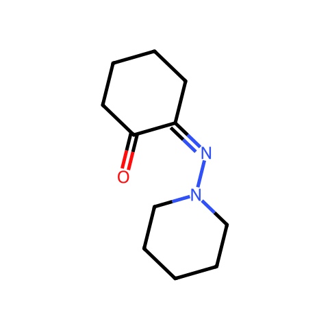 O=C1CCCCC1=NN1CCCCC1